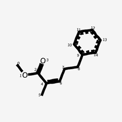 COC(=O)C(C)=CCCc1ccccc1